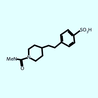 CNC(=O)N1CCC(CCc2ccc(S(=O)(=O)O)cc2)CC1